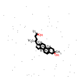 CC[C@@H](O)CC[C@@H](C)[C@H]1CC[C@H]2[C@@H]3CC=C4C[C@@](C)(O)CC[C@]4(C)[C@H]3CC[C@]12C